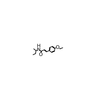 CCOc1ccc(C=CC(=O)NC(C)CC)cc1